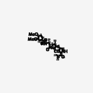 COc1ccc(S(=O)(=O)N[C@H](C)[C@H]2C(=O)N3C(C(=O)O)=C(S[C@@H]4CN[C@H](C(=O)N(C)C)C4)[C@H](C)C23)cc1OC